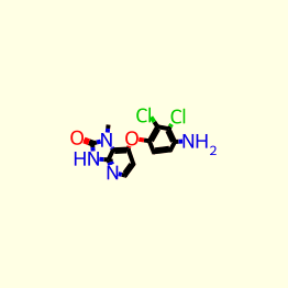 Cn1c(=O)[nH]c2nccc(Oc3ccc(N)c(Cl)c3Cl)c21